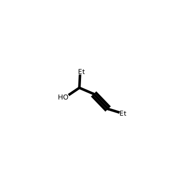 CCC#CC(O)CC